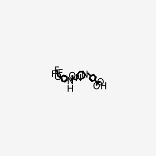 O=C(CN1CCCN(Cc2ccc(C(=O)O)cc2)CC1)Nc1ccc(OC(F)(F)F)cc1